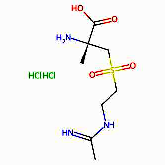 CC(=N)NCCS(=O)(=O)C[C@](C)(N)C(=O)O.Cl.Cl